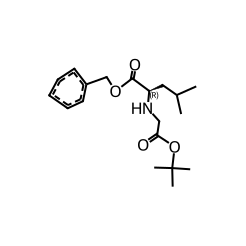 CC(C)C[C@@H](NCC(=O)OC(C)(C)C)C(=O)OCc1ccccc1